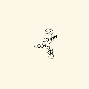 O=C(O)/C=C\C(=O)O.c1c(OCCCCNC2C3CC4CC(C3)CC2C4)nn2c1CCCC2